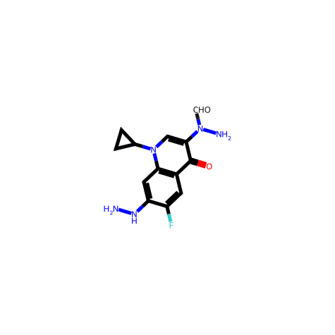 NNc1cc2c(cc1F)c(=O)c(N(N)C=O)cn2C1CC1